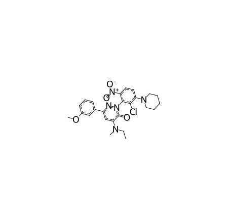 CCN(C)c1cc(-c2cccc(OC)c2)nn(-c2c([N+](=O)[O-])ccc(N3CCCCC3)c2Cl)c1=O